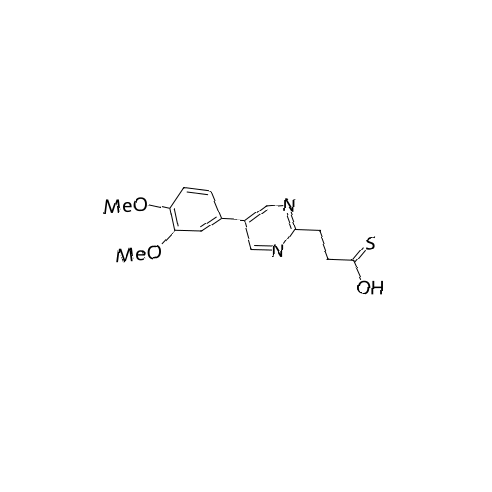 COc1ccc(-c2cnc(CCC(O)=S)nc2)cc1OC